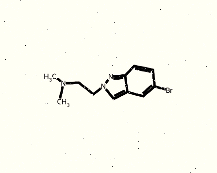 CN(C)CCn1cc2cc(Br)ccc2n1